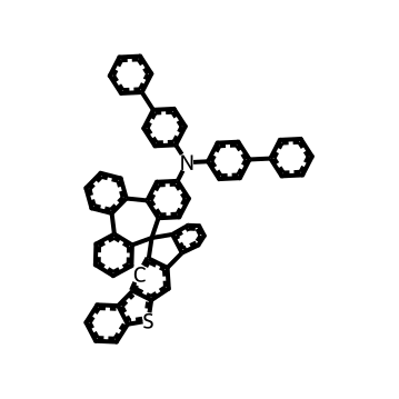 c1ccc(-c2ccc(N(c3ccc(-c4ccccc4)cc3)c3ccc4c(c3)-c3ccccc3-c3ccccc3C43c4ccccc4-c4cc5sc6ccccc6c5cc43)cc2)cc1